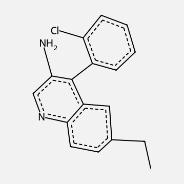 CCc1ccc2ncc(N)c(-c3ccccc3Cl)c2c1